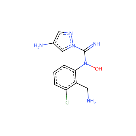 N=C(N(O)c1cccc(Cl)c1CN)n1cc(N)cn1